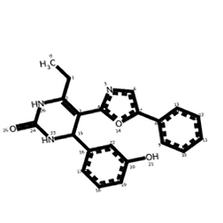 CCC1=C(c2ncc(-c3ccccc3)o2)C(c2cccc(O)c2)NC(=O)N1